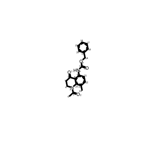 CC(=O)N1CCC(=O)c2c(NC(=O)OCc3ccccc3)ccc(C)c21